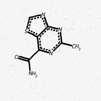 Cc1nc(C(N)=O)c2s[c]nc2n1